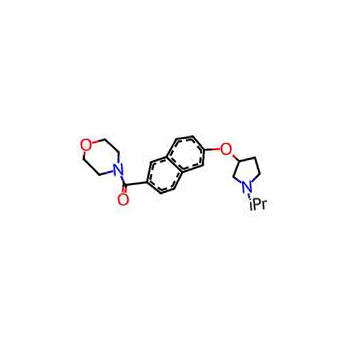 CC(C)N1CCC(Oc2ccc3cc(C(=O)N4CCOCC4)ccc3c2)C1